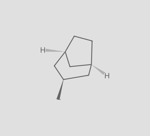 [CH2][C@H]1C[C@H]2CC[C@@H](C1)C2